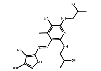 Cc1c(C#N)c(NCC(C)O)nc(NCC(C)O)c1N=Nc1[nH]nc(C(C)(C)C)c1C#N